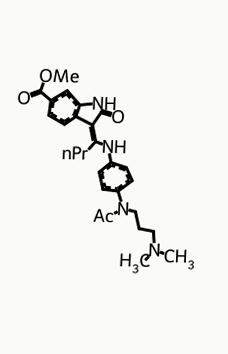 CCC/C(Nc1ccc(N(CCCN(C)C)C(C)=O)cc1)=C1/C(=O)Nc2cc(C(=O)OC)ccc21